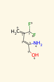 C=C(C=C(N)CO)C(F)F